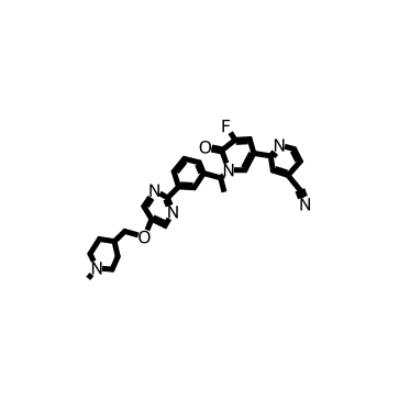 CC(c1cccc(-c2ncc(OCC3CCN(C)CC3)cn2)c1)n1cc(-c2cc(C#N)ccn2)cc(F)c1=O